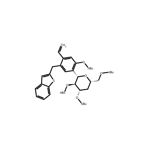 C=Cc1cc(OCCCC)c([C@@H]2O[C@H](COCCCC)C[C@H](OCCCC)[C@H]2OCCCC)cc1Cc1cc2ccccc2s1